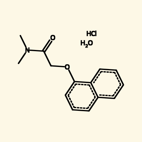 CN(C)C(=O)COc1cccc2ccccc12.Cl.O